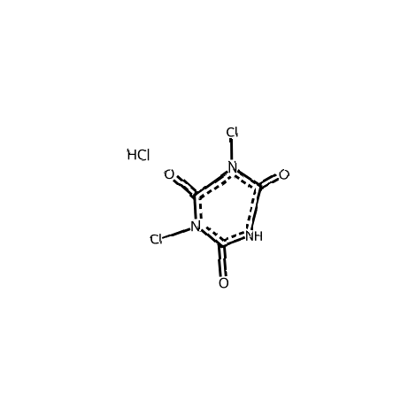 Cl.O=c1[nH]c(=O)n(Cl)c(=O)n1Cl